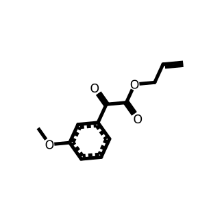 C=CCOC(=O)C(=O)c1cccc(OC)c1